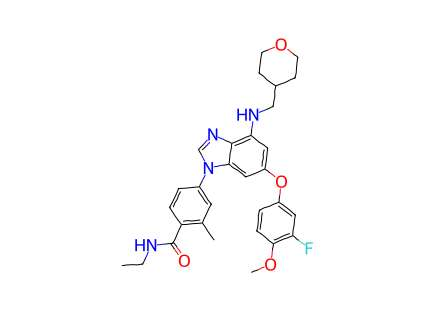 CCNC(=O)c1ccc(-n2cnc3c(NCC4CCOCC4)cc(Oc4ccc(OC)c(F)c4)cc32)cc1C